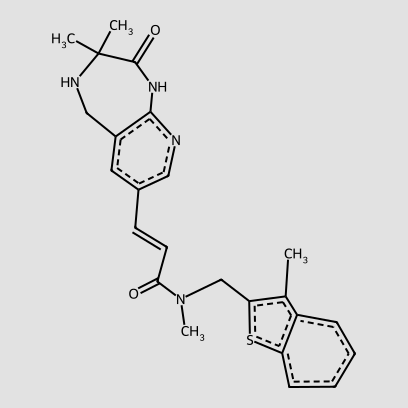 Cc1c(CN(C)C(=O)/C=C/c2cnc3c(c2)CNC(C)(C)C(=O)N3)sc2ccccc12